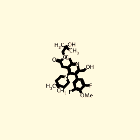 COc1c(F)cc(-c2c(CO)nc(Cl)c(CC(=O)OCC(C)(C)O)c2N2CCC(C)(C)CC2)cc1F